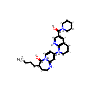 CCCCC1CCN=C2C=C(N3CCCc4cc(C(=O)N5CCCCC5)cnc43)C=CN2C1=O